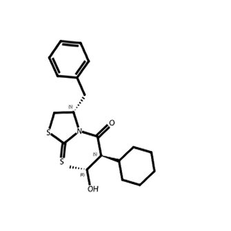 C[C@@H](O)[C@@H](C(=O)N1C(=S)SC[C@@H]1Cc1ccccc1)C1CCCCC1